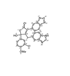 COc1ccc(C2(O)OC(=O)C(c3ccc4nsnc4c3)=C2Cc2ccc3[nH]cnc3c2)cc1Cl